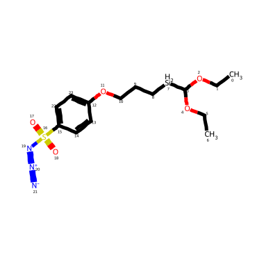 CCOC(OCC)[SiH2]CCCOc1ccc(S(=O)(=O)N=[N+]=[N-])cc1